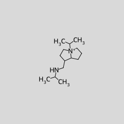 CC(C)NCC1CC[N+]2(C(C)C)CCCC12